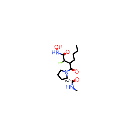 CCCCC(C(=O)N1CCC[C@H]1C(=O)NC)C(F)C(=O)NO